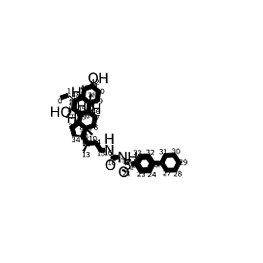 CC[C@H]1[C@@H](O)[C@@H]2[C@H](CC[C@]3(C)[C@@H]([C@H](C)CCNC(=O)N[S+]([O-])c4ccc(C5CCCCC5)cc4)CC[C@@H]23)[C@@]2(C)CC[C@@H](O)C[C@@H]12